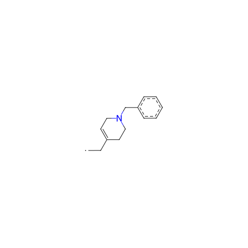 [CH2]CC1=CCN(Cc2ccccc2)CC1